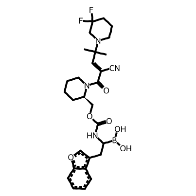 CC(C)(C=C(C#N)C(=O)N1CCCC[C@@H]1COC(=O)NC(Cc1coc2ccccc12)B(O)O)N1CCCC(F)(F)C1